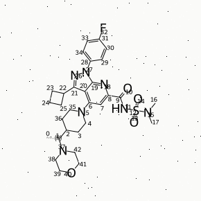 C[C@H](C1CCN(c2cc(C(=O)NS(=O)(=O)N(C)C)nc3c2c(C2CCC2)nn3-c2ccc(F)cc2)CC1)N1CCOCC1